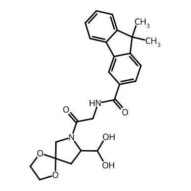 CC1(C)c2ccccc2-c2cc(C(=O)NCC(=O)N3CC4(CC3C(O)O)OCCO4)ccc21